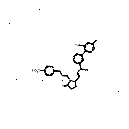 CCCCc1cc(C)ccc1-c1cccc(C(O)/C=C/C2CCC(=O)N2CCCc2ccc(C(=O)O)cc2)c1